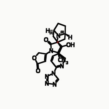 CC1CC2(C[C@H]3CC[C@H](C2)N3CC(O)c2ccc(-n3cnnn3)nc2)C(=O)N1C1=CC(=O)OC1